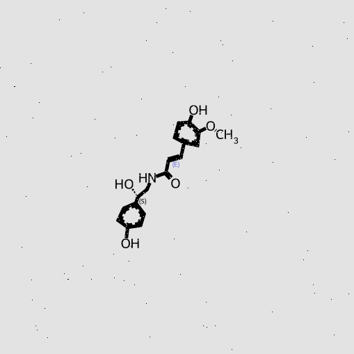 COc1cc(/C=C/C(=O)NC[C@@H](O)c2ccc(O)cc2)ccc1O